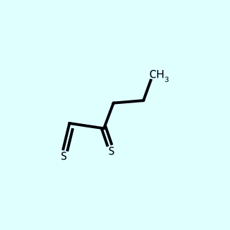 CCCC(=S)C=S